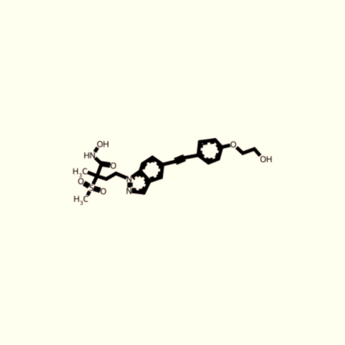 CC(CCn1ncc2cc(C#Cc3ccc(OCCO)cc3)ccc21)(C(=O)NO)S(C)(=O)=O